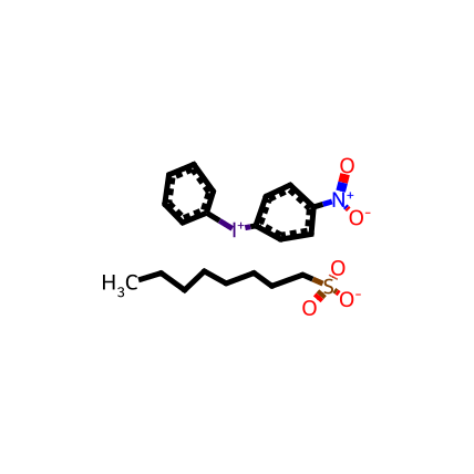 CCCCCCCCS(=O)(=O)[O-].O=[N+]([O-])c1ccc([I+]c2ccccc2)cc1